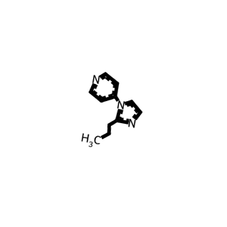 CCCc1nccn1-c1ccncc1